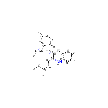 C/C=C/C1=CC(C)=CCC1(C)/C=C(\Cc1ccccc1)C(=N)CCC(C)CC